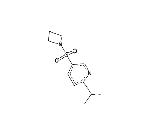 CC(C)c1ccc(S(=O)(=O)N2CCC2)cn1